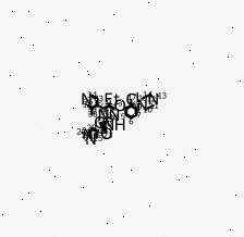 CCc1c(Oc2cccc(N3CCN(C)CC3)c2Cl)nc(NS(=O)(=O)c2cnn(C)c2)nc1-c1ccncc1C